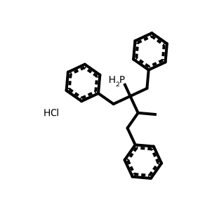 CC(Cc1ccccc1)C(P)(Cc1ccccc1)Cc1ccccc1.Cl